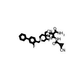 N#CCC1(n2cc(C(N)=O)c(NC(=O)C3CC3C#N)n2)CCN(Cc2ccc(-c3ccccc3)cc2F)CC1F